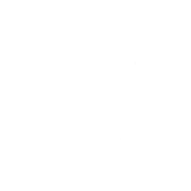 Fc1ccc(OC(CCCl)c2ccc(F)cc2)cc1